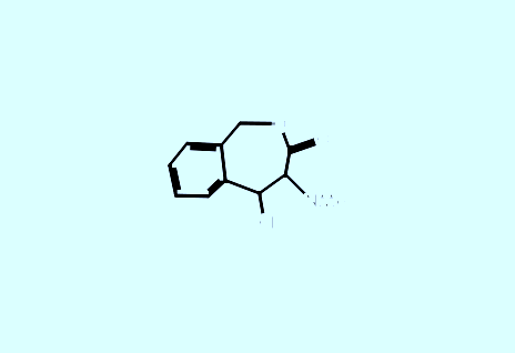 CNC1C(=O)OCc2ccccc2C1C